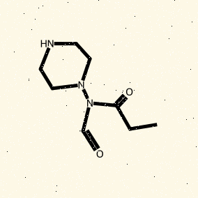 CCC(=O)N([C]=O)N1CCNCC1